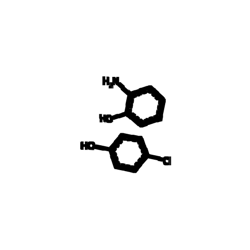 Nc1ccccc1O.Oc1ccc(Cl)cc1